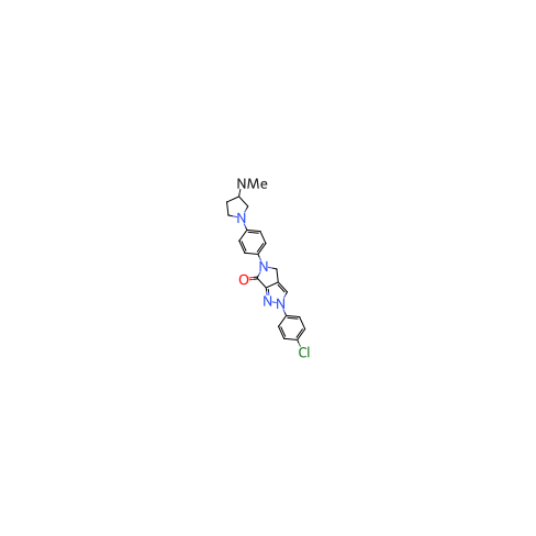 CNC1CCN(c2ccc(N3Cc4cn(-c5ccc(Cl)cc5)nc4C3=O)cc2)C1